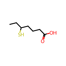 CCC(S)CCCC(=O)O